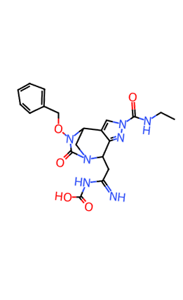 CCNC(=O)n1cc2c(n1)C(CC(=N)NC(=O)O)N1CC2N(OCc2ccccc2)C1=O